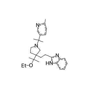 CCOC(C)(C)C1(CCc2nc3ccccc3[nH]2)CCN(C(C)(C)c2ccc(C)nc2)C1